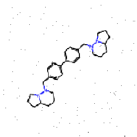 c1cc(-c2ccc(CN3CCCC4CCCN43)cc2)ccc1CN1CCCC2CCCN21